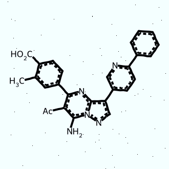 CC(=O)c1c(-c2ccc(C(=O)O)c(C)c2)nc2c(-c3ccc(-c4ccccc4)nc3)cnn2c1N